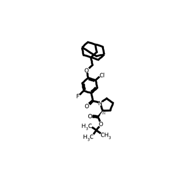 CC(C)(C)OC(=O)[C@@H]1CCCN1C(=O)c1cc(Cl)c(OCC23CC4CC(CC(C4)C2)C3)cc1F